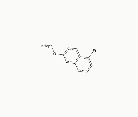 CCCCCCCOc1ccc2c(CC)cccc2c1